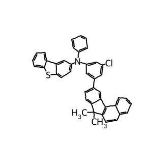 CC1(C)c2ccc(-c3cc(Cl)cc(N(c4ccccc4)c4ccc5sc6ccccc6c5c4)c3)cc2-c2c1ccc1ccccc21